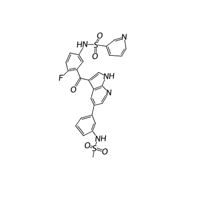 CS(=O)(=O)Nc1cccc(-c2cnc3[nH]cc(C(=O)c4cc(NS(=O)(=O)c5cccnc5)ccc4F)c3c2)c1